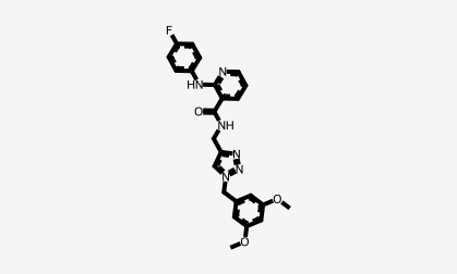 COc1cc(Cn2cc(CNC(=O)c3cccnc3Nc3ccc(F)cc3)nn2)cc(OC)c1